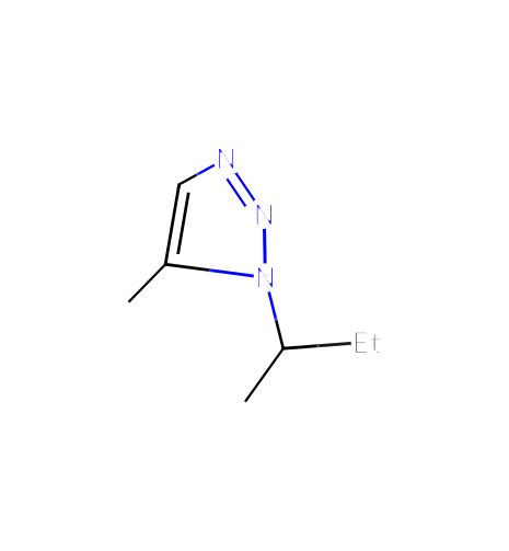 CCC(C)n1nncc1C